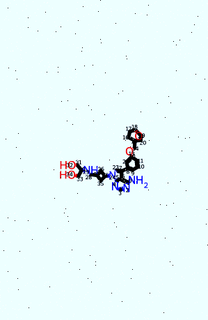 Nc1ncnc2c1c(-c1cccc(OCC34CCC(CC3)O4)c1)cn2C1CC(CNC(CO)CO)C1